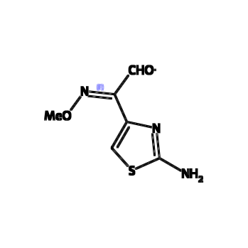 CO/N=C(/[C]=O)c1csc(N)n1